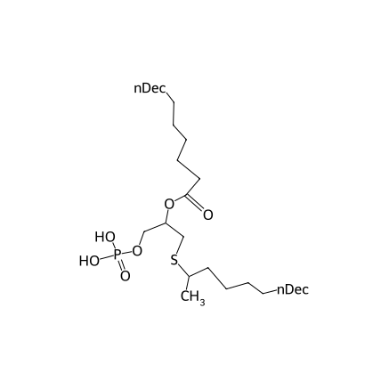 CCCCCCCCCCCCCCCC(=O)OC(COP(=O)(O)O)CSC(C)CCCCCCCCCCCCCC